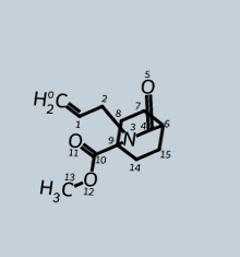 C=CCN1C(=O)C2CCC1(C(=O)OC)CC2